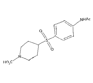 CC(=O)Nc1ccc(S(=O)(=O)C2CCN(C(=O)O)CC2)cc1